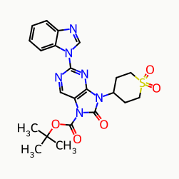 CC(C)(C)OC(=O)n1c(=O)n(C2CCS(=O)(=O)CC2)c2nc(-n3cnc4ccccc43)ncc21